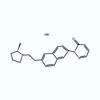 Br.C[C@@H]1CCCN1CCc1ccc2cc(-n3ncccc3=O)ccc2c1